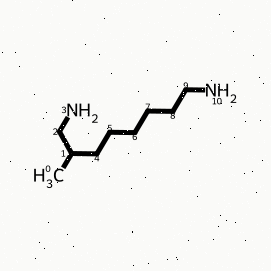 CC(CN)CCCCCCN